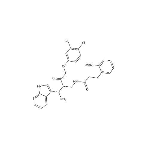 COc1ccccc1CCC(=O)NCC(C(=O)COc1ccc(Cl)c(Cl)c1)C(N)c1c[nH]c2ccccc12